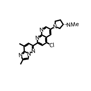 CN[C@H]1CCN(c2cnc3nc(-c4cc(C)c5nc(C)cn5n4)cc(Cl)c3c2)C1